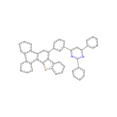 c1ccc(-c2cc(-c3cccc(-c4cc5c6ccccc6c6ccccc6c5c5sc6ccccc6c45)c3)nc(-c3ccccc3)n2)cc1